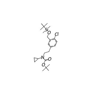 CC(C)(C)OC(=O)N(CCc1ccc(Cl)c(CO[Si](C)(C)C(C)(C)C)c1)C1CC1